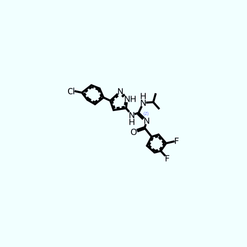 CC(C)N/C(=N/C(=O)c1ccc(F)c(F)c1)Nc1cc(-c2ccc(Cl)cc2)n[nH]1